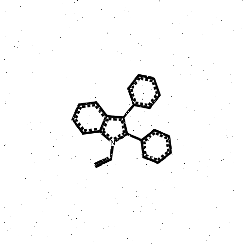 C=Cn1c(-c2ccccc2)c(-c2ccccc2)c2ccccc21